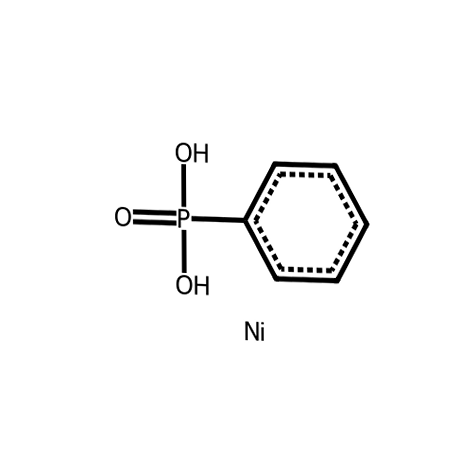 O=P(O)(O)c1ccccc1.[Ni]